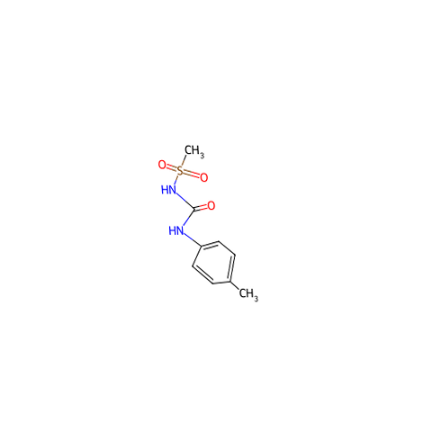 Cc1ccc(NC(=O)NS(C)(=O)=O)cc1